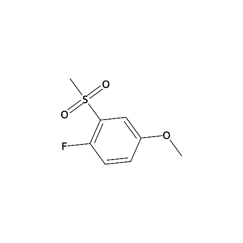 COc1ccc(F)c(S(C)(=O)=O)c1